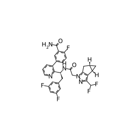 NC(=O)c1cc(-c2cccnc2[C@H](Cc2cc(F)cc(F)c2)NC(=O)Cn2nc(C(F)F)c3c2C[C@@H]2C[C@H]32)ccc1F